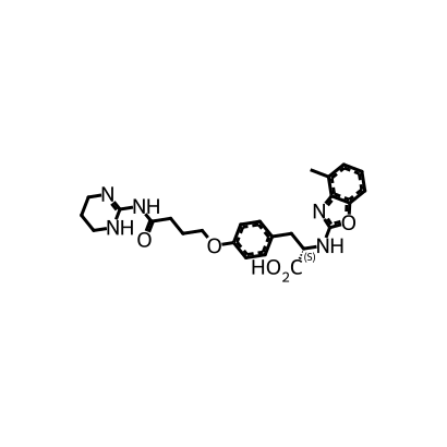 Cc1cccc2oc(N[C@@H](Cc3ccc(OCCCC(=O)NC4=NCCCN4)cc3)C(=O)O)nc12